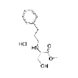 COC(=O)[C@H](CO)NCCCc1ccccc1.Cl